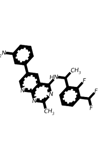 Cc1nc(NC(C)c2cccc(C(F)F)c2F)c2cc(-c3cccc(N)c3)cnc2n1